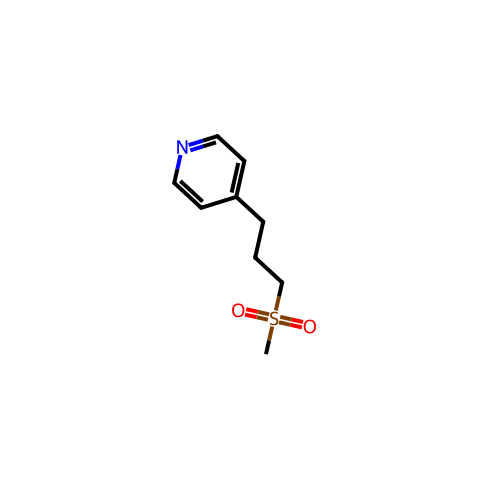 CS(=O)(=O)CCCc1ccncc1